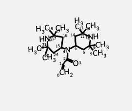 C=CC(=O)N(C1CC(C)(C)NC(C)(C)C1)C1CC(C)(C)NC(C)(C)C1